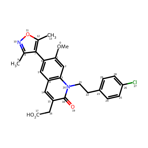 COc1cc2c(cc1-c1c(C)noc1C)cc(CC(=O)O)c(=O)n2CCc1ccc(Cl)cc1